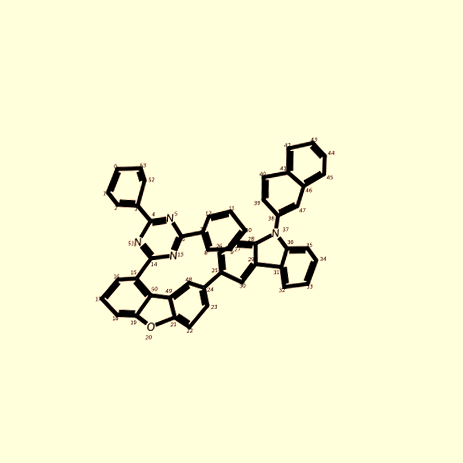 c1ccc(-c2nc(-c3ccccc3)nc(-c3cccc4oc5ccc(-c6ccc7c(c6)c6ccccc6n7-c6ccc7ccccc7c6)cc5c34)n2)cc1